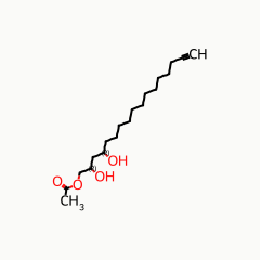 C#CCCCCCCCCCCC[C@@H](O)C[C@@H](O)COC(C)=O